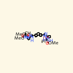 COC(=O)NC(C(=O)N1CCCC1c1ncc(-c2ccc3c(c2)CCc2cc(-c4cnc([C@@H]5C6CCC(C6)N5C(=O)[C@@H](NC(=O)OC)C(C)C)[nH]4)ccc2-3)[nH]1)[C@@H](C)OC